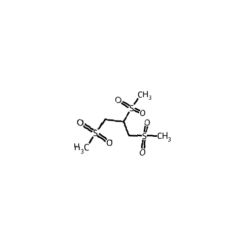 CS(=O)(=O)CC(CS(C)(=O)=O)S(C)(=O)=O